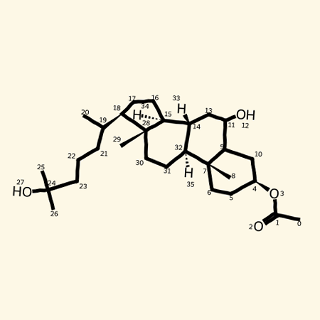 CC(=O)O[C@H]1CC[C@@]2(C)C(C1)C(O)C[C@H]1[C@@H]3CC[C@H](C(C)CCCC(C)(C)O)[C@@]3(C)CC[C@@H]12